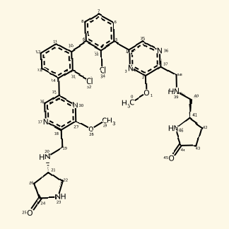 COc1nc(-c2cccc(-c3cccc(-c4cnc(CN[C@@H]5CNC(=O)C5)c(OC)n4)c3Cl)c2Cl)cnc1CNC[C@H]1CCC(=O)N1